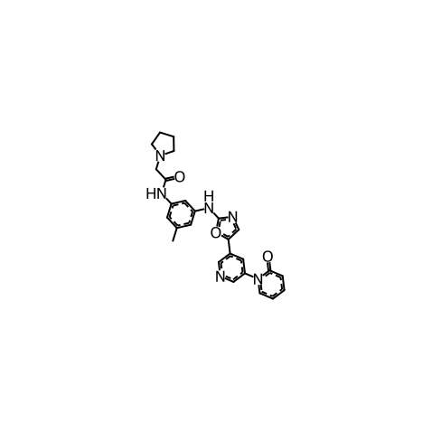 Cc1cc(NC(=O)CN2CCCC2)cc(Nc2ncc(-c3cncc(-n4ccccc4=O)c3)o2)c1